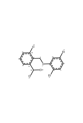 CCc1ccc(CC)c(OCc2c(Cl)cccc2C(Cl)Cl)c1